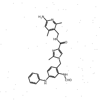 Cc1cc(N)nc(C)c1CNC(=O)c1cn(Cc2ccc(Nc3ccccc3)cc2NC=O)c(C)n1